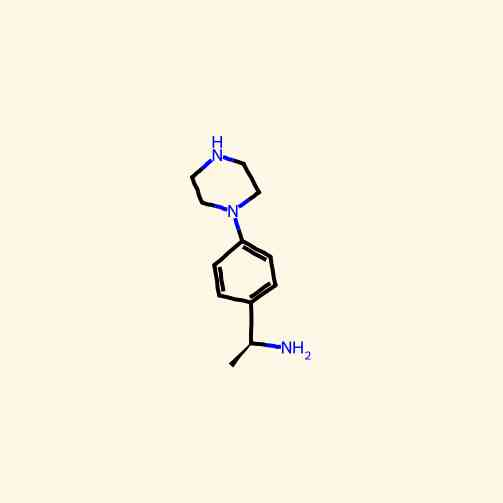 C[C@H](N)c1ccc(N2CCNCC2)cc1